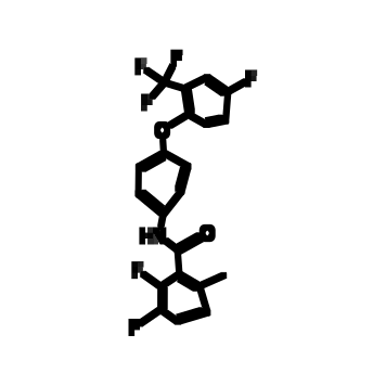 Cc1ccc(F)c(F)c1C(=O)Nc1ccc(Oc2ccc(F)cc2C(F)(F)F)cc1